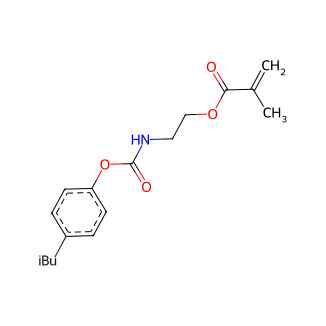 C=C(C)C(=O)OCCNC(=O)Oc1ccc(C(C)CC)cc1